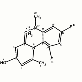 Cc1cc(O)cc(=O)n1-c1c(F)cc(F)cc1N(C)C